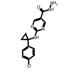 NNC(=O)c1cnc(NC2(c3ccc(Cl)cc3)CC2)nc1